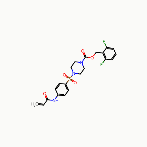 C=CC(=O)Nc1ccc(S(=O)(=O)N2CCN(C(=O)OCc3c(F)cccc3F)CC2)cc1